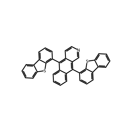 c1ccc2c(c1)sc1c(-c3c4ccccc4c(-c4cccc5c4sc4ccccc45)c4cnccc34)cccc12